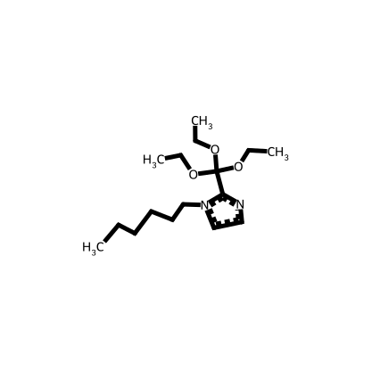 CCCCCCn1ccnc1C(OCC)(OCC)OCC